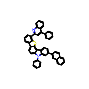 c1ccc(-c2cc(-c3cccc4c3sc3c4ccc4c3c3ccc(-c5ccc6ccccc6c5)cc3n4-c3ccccc3)nc3ccccc23)cc1